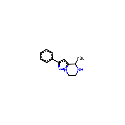 CCCCC1NCCn2nc(-c3ccccc3)cc21